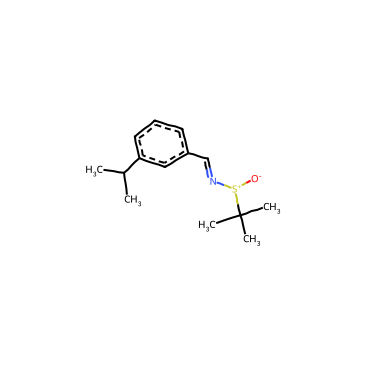 CC(C)c1cccc(C=N[S+]([O-])C(C)(C)C)c1